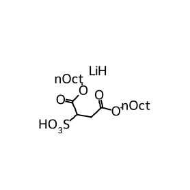 CCCCCCCCOC(=O)CC(C(=O)OCCCCCCCC)S(=O)(=O)O.[LiH]